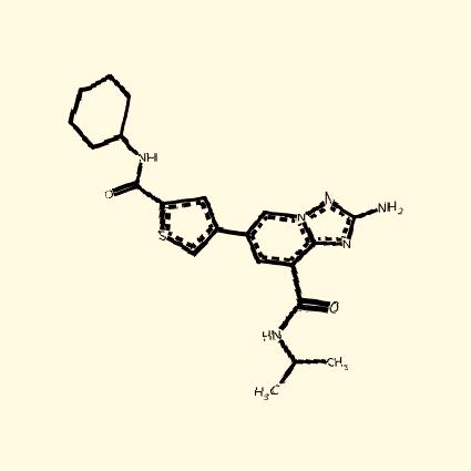 CC(C)NC(=O)c1cc(-c2csc(C(=O)NC3CCCCC3)c2)cn2nc(N)nc12